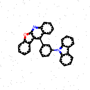 c1cc(-c2c3ccccc3nc3oc4ccccc4c23)cc(-n2c3ccccc3c3ccccc32)c1